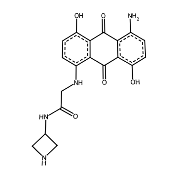 Nc1ccc(O)c2c1C(=O)c1c(O)ccc(NCC(=O)NC3CNC3)c1C2=O